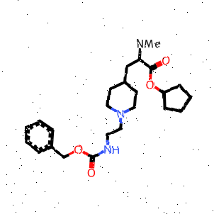 CNC(CC1CCN(CCNC(=O)OCc2ccccc2)CC1)C(=O)OC1CCCC1